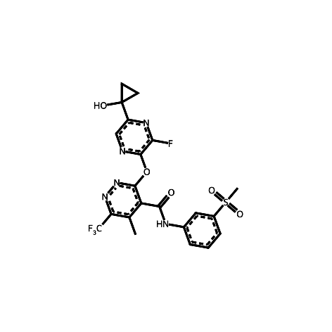 Cc1c(C(F)(F)F)nnc(Oc2ncc(C3(O)CC3)nc2F)c1C(=O)Nc1cccc(S(C)(=O)=O)c1